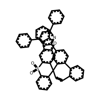 O=S1(=O)c2ccccc2C2(c3ccccc3-c3ccccc3-c3ccc(-c4nc(-c5ccccc5)cc(-c5ccccc5)n4)cc32)c2cc3oc4ccccc4c3cc21